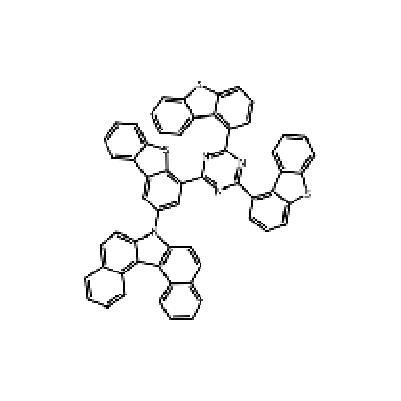 c1ccc2c(c1)ccc1c2c2c3ccccc3ccc2n1-c1cc(-c2nc(-c3cccc4sc5ccccc5c34)nc(-c3cccc4sc5ccccc5c34)n2)c2sc3ccccc3c2c1